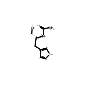 NC(=S)N[C@@H](CO)Cc1ccsc1